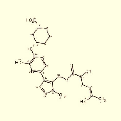 CC(C)=CCN(C)C(=O)OCc1c(-c2ccc(O[C@H]3CCC[C@@H](C(=O)O)C3)c(C)n2)nnn1C